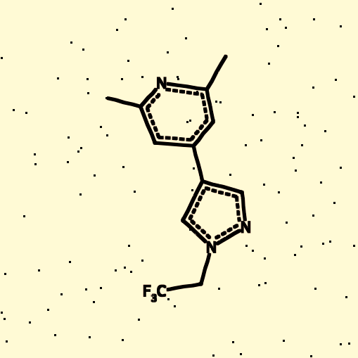 Cc1cc(-c2cnn(CC(F)(F)F)c2)cc(C)n1